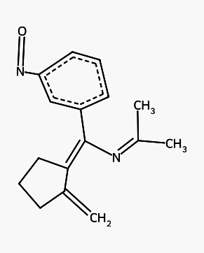 C=C1CCC/C1=C(/N=C(C)C)c1cccc(N=O)c1